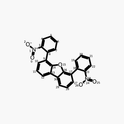 O=[N+]([O-])c1ccccc1-c1cccc2c1oc1c(-c3ccccc3[N+](=O)[O-])cccc12